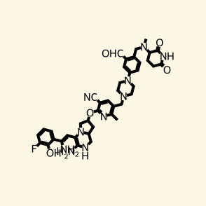 Cc1nc(OC2CC3CNC(N)=C(/C=C(\N)c4cccc(F)c4O)N3C2)c(C#N)cc1CN1CCN(c2ccc(CN(C)C3CCC(=O)NC3=O)c(C=O)c2)CC1